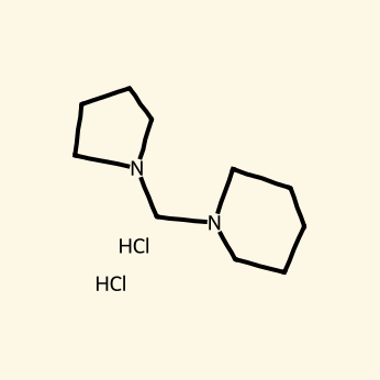 C1CCN(CN2CCCC2)CC1.Cl.Cl